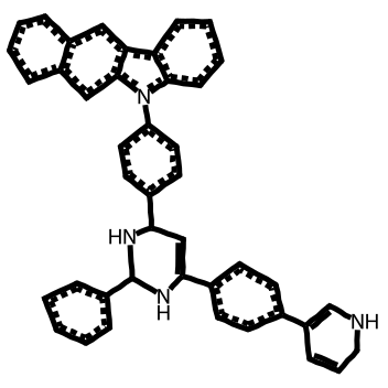 C1=CC(c2ccc(C3=CC(c4ccc(-n5c6ccccc6c6cc7ccccc7cc65)cc4)NC(c4ccccc4)N3)cc2)=CNC1